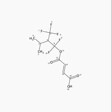 CC(C)C(C(F)(F)F)C(F)(F)OC(=O)C=CC(=O)O